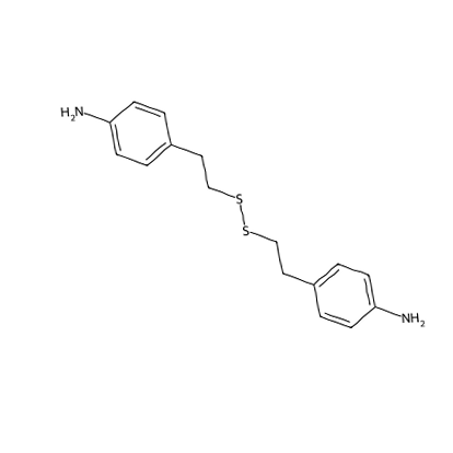 Nc1ccc(CCSSCCc2ccc(N)cc2)cc1